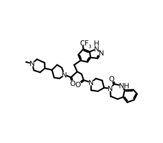 CN1CCC(C2CCN(C(=O)C(CC(=O)N3CCC(N4CCc5ccccc5NC4=O)CC3)Cc3cc(C(F)(F)F)c4[nH]ncc4c3)CC2)CC1